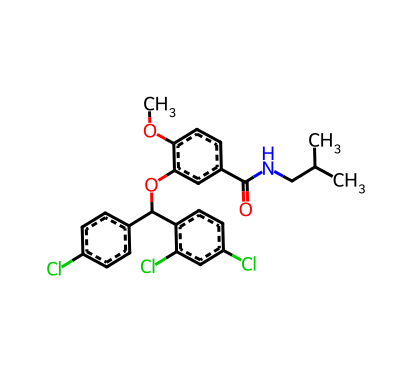 COc1ccc(C(=O)NCC(C)C)cc1OC(c1ccc(Cl)cc1)c1ccc(Cl)cc1Cl